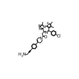 Cc1sc2c(c1C)C(c1ccc(Cl)cc1)=N[C@@H](CC(=O)N1CC=C(c3ccc(C#CCN)cc3)CC1)c1nnc(C)n1-2